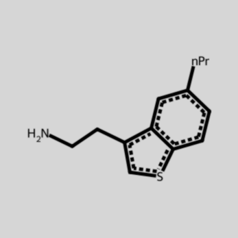 CCCc1ccc2scc(CCN)c2c1